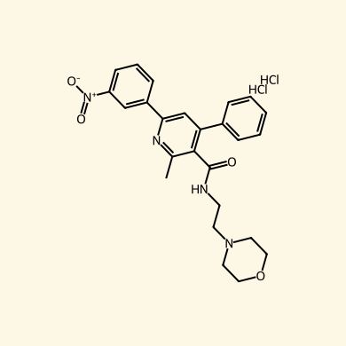 Cc1nc(-c2cccc([N+](=O)[O-])c2)cc(-c2ccccc2)c1C(=O)NCCN1CCOCC1.Cl.Cl